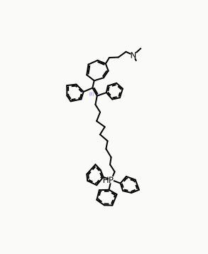 CN(C)CCCC1=CC=CC(/C(=C(/CCCCCCCCCC[PH](c2ccccc2)(c2ccccc2)c2ccccc2)c2ccccc2)c2ccccc2)C=C1